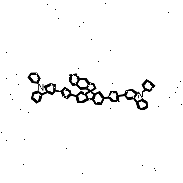 c1ccc(-n2c3ccccc3c3cc(-c4ccc(-c5ccc6c(c5)C5(CCc7cc8ccccc8cc75)c5cc(-c7ccc(-c8ccc9c(c8)c8ccccc8n9-c8ccccc8)cc7)ccc5-6)cc4)ccc32)cc1